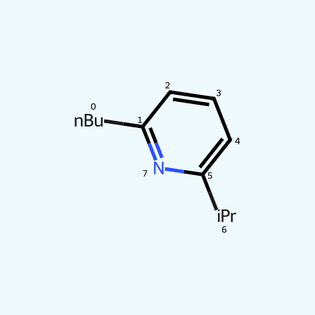 CCCCc1cccc(C(C)C)n1